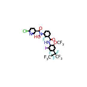 O=C(Nc1c(I)cc(C(F)(C(F)(F)F)C(F)(F)C(F)(F)F)cc1OC(F)(F)F)c1cccc(N(O)C(=O)c2ccc(Cl)nc2)c1F